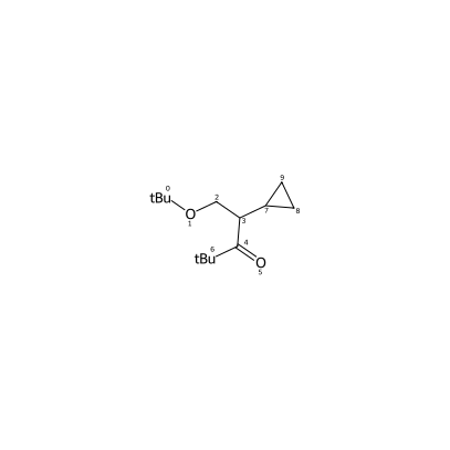 CC(C)(C)OCC(C(=O)C(C)(C)C)C1CC1